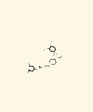 CCN(C1CCN(CCNC(=O)Nc2cc(C)nc(C)c2)CC1)S(=O)(=O)c1ccc(OC)c(OC)c1